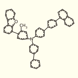 Cc1cc(N(c2ccc(-c3ccccc3)cc2)c2ccc(-c3ccc(-c4cccc5ccccc45)cc3)cc2)ccc1-c1cccc2c1oc1ccccc12